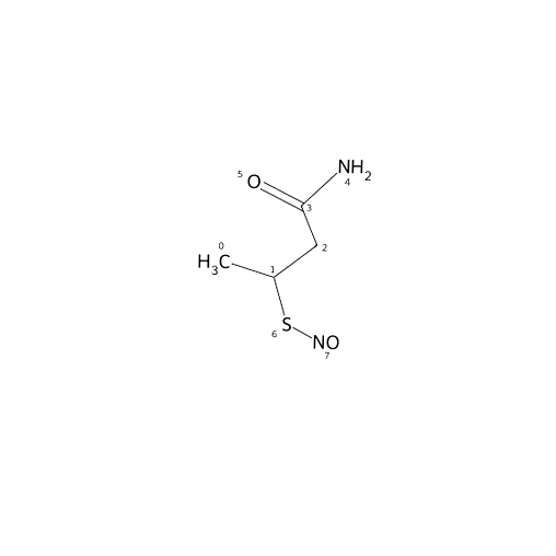 CC(CC(N)=O)SN=O